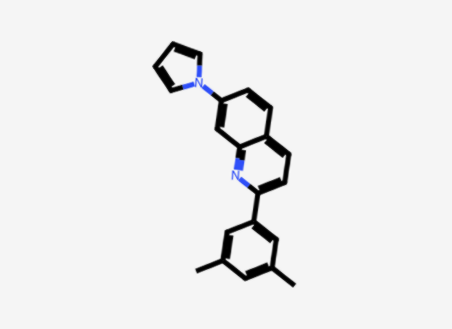 Cc1cc(C)cc(-c2ccc3ccc(-n4cccc4)cc3n2)c1